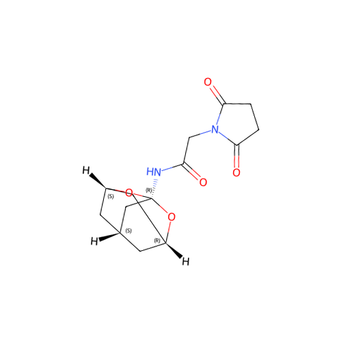 O=C(CN1C(=O)CCC1=O)N[C@]12C[C@@H]3C[C@H](C[C@H](C3)O1)O2